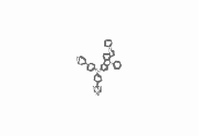 c1ccc(-n2ccc3c2ccc2c4cc(N(c5ccc(-c6ccncc6)cc5)c5ccc(-c6ncncn6)cc5)ccc4n(-c4ccccc4)c23)cc1